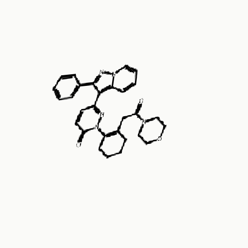 O=C(CC1=C(n2nc(-c3c(-c4ccccc4)nn4ccccc34)ccc2=O)CCCC1)N1CCOCC1